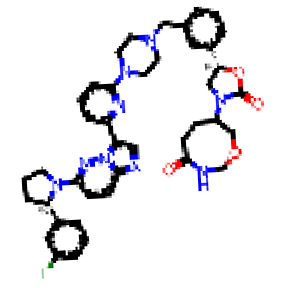 O=C1CCC(N2C[C@H](c3cccc(CN4CCN(c5cccc(-c6cnc7ccc(N8CCC[C@@H]8c8cccc(F)c8)nn67)n5)CC4)c3)OC2=O)COCN1